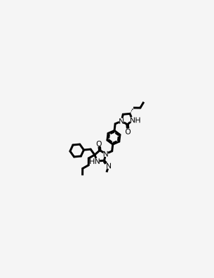 CCCCC1(CC2CCCCC2)N/C(=N\C)N(Cc2ccc(CN3C[C@H](CCC)NC3=O)cc2)C1=O